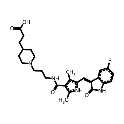 Cc1[nH]c(/C=C2\C(=O)Nc3ccc(F)cc32)c(C)c1C(=O)NCCCN1CCC(CCC(=O)O)CC1